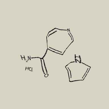 Cl.NC(=O)c1ccncc1.c1cc[nH]c1